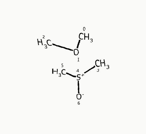 COC.C[S+](C)[O-]